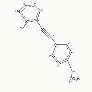 Cc1ncccc1C#Cc1ccc(CC(=O)O)cc1